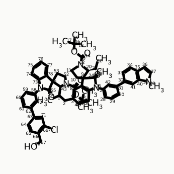 CC(Cc1ccc2c(c1)C1(CCN(C(=O)OC(C)(C)C)[C@H]1C(C)C)C(=O)N2c1cccc(-c2ccc3ccn(C)c3c2)c1)C1N(C(=O)OC(C)(C)C)CCC12C(=O)N(c1cccc(-c3ccc(CO)c(Cl)c3)c1)c1ccccc12